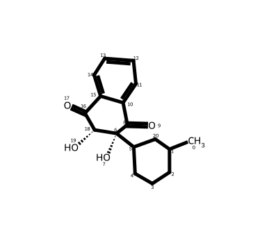 CC1CCCC([C@]2(O)C(=O)c3ccccc3C(=O)[C@H]2O)C1